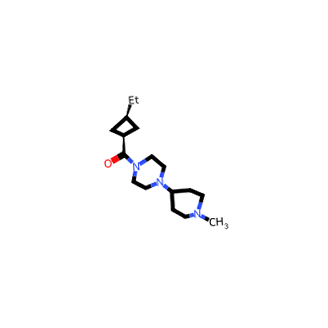 CC[C@H]1C[C@@H](C(=O)N2CCN(C3CCN(C)CC3)CC2)C1